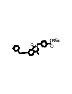 Cc1cn(Cc2ccc(C(=O)OC(C)(C)C)cc2)c(=O)c2cc(C#CCc3ccccc3)ccc12